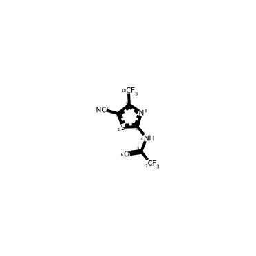 N#Cc1sc(NC(=O)C(F)(F)F)nc1C(F)(F)F